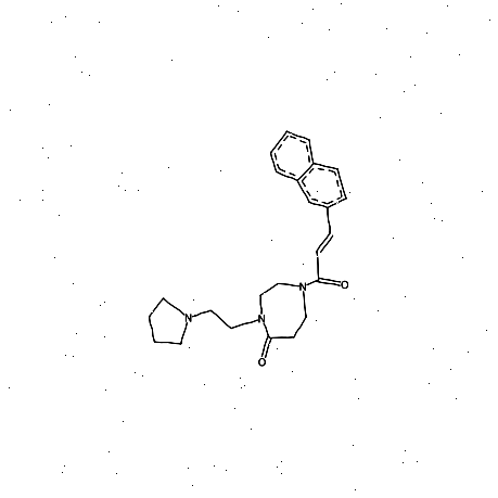 O=C(C=Cc1ccc2ccccc2c1)N1CCC(=O)N(CCN2CCCC2)CC1